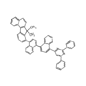 CC1(C)c2ccc3ccccc3c2-c2cccc(-c3ccc(-c4ccc(-c5cc(-c6ccccc6)nc(-c6ccccc6)n5)c5ccccc45)c4ccccc34)c21